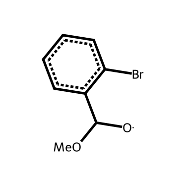 COC([O])c1ccccc1Br